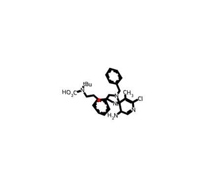 CC1=C(Cl)N=CC(N)C1(NCCCCN(C(=O)O)C(C)(C)C)N(Cc1ccccc1)Cc1ccccc1